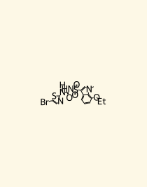 CCOc1cccc2c(S(=O)(=O)NC(=O)Nc3ncc(Br)s3)cn(C)c12